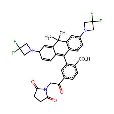 CC1(C)C2=CC(N3CC(F)(F)C3)C=CC2=C(c2cc(C(=O)CN3C(=O)CCC3=O)ccc2C(=O)O)c2ccc(N3CC(F)(F)C3)cc21